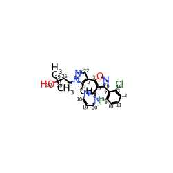 Cc1c(-c2onc(-c3c(F)cccc3Cl)c2-c2ncccn2)cnn1CCC(C)(C)O